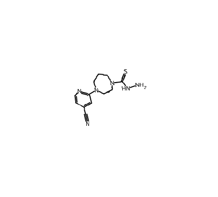 N#Cc1ccnc(N2CCCN(C(=S)NN)CC2)c1